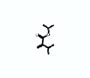 C=C(C(=O)OC(C)C)C(C)C